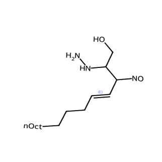 CCCCCCCCCCC/C=C/C(N=O)C(CO)NN